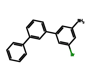 Bc1cc(Br)cc(-c2cccc(-c3ccccc3)c2)c1